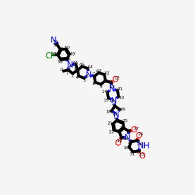 CC1CC2(CCN(C3CCC(C(=O)N4CCN(C5CN(c6ccc7c(c6)C(=O)N(C6CCC(=O)NC6=O)C7=O)C5)CC4)CC3)CC2)CN1c1ccc(C#N)c(Cl)c1